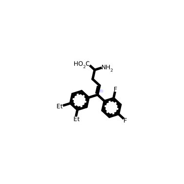 CCc1ccc(/C(=C\CC(N)C(=O)O)c2ccc(F)cc2F)cc1CC